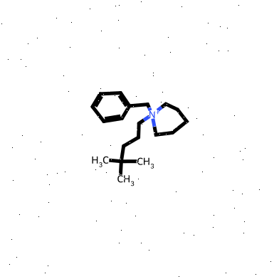 CC(C)(C)CCC[N+]1(Cc2ccccc2)CCCCC1